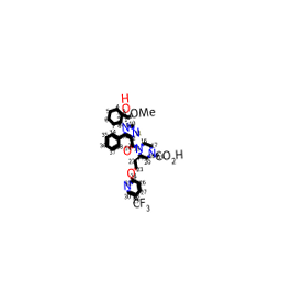 COC[C@]1(O)CCCC[C@H]1n1cnc(C(=O)N2CCN(C(=O)O)C[C@H]2CCOc2ccc(C(F)(F)F)cn2)c1-c1ccccc1